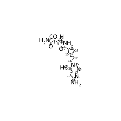 NC(=O)CC[C@H](NC(=O)c1cc(CCn2cnc3nc(N)cc-3c2O)cs1)C(=O)O